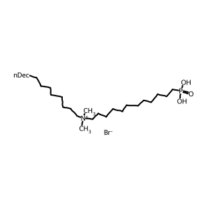 CCCCCCCCCCCCCCCCCC[N+](C)(C)CCCCCCCCCCCCP(=O)(O)O.[Br-]